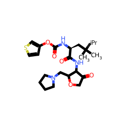 CC(C)C(C)(C)C[C@H](NC(=O)Oc1ccsc1)C(=O)NC1C(=O)COC1CN1CCCC1